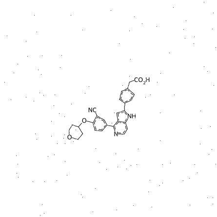 N#Cc1cc(-c2nccc3[nH]c(-c4ccc(CC(=O)O)cc4)cc23)ccc1OC1CCOCC1